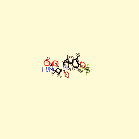 COC(=O)N[C@]1(C)C[C@H](C(=O)N2CC3CC3(c3ccc(OC(F)(F)F)c(C)c3)C2)C1